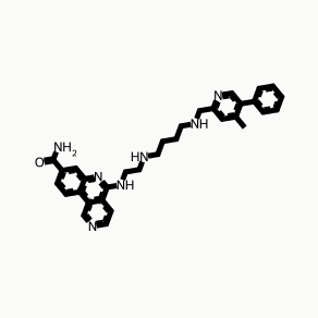 Cc1cc(CNCCCCNCCNc2nc3cc(C(N)=O)ccc3c3cnccc23)ncc1-c1ccccc1